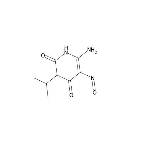 CC(C)C1C(=O)NC(N)=C(N=O)C1=O